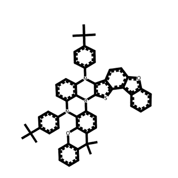 CC(C)(C)c1ccc(N2c3cccc4c3B(c3ccc5c(c32)Oc2ccccc2C5(C)C)c2sc3c(ccc5oc6ccccc6c53)c2N4c2ccc(C(C)(C)C)cc2)cc1